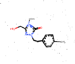 CCCCCCCCn1c(CO)nn(Cc2ccc(C)cc2)c1=O